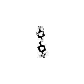 CS(=O)(=O)c1ccc(COc2cnc(N)nc2)cc1